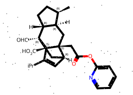 CC(C)C1=C[C@H]2C[C@@]3(C=O)[C@@H]4CC[C@@H](C)[C@H]4C[C@@]2(CC(=O)Oc2ccccn2)[C@]13C(=O)O